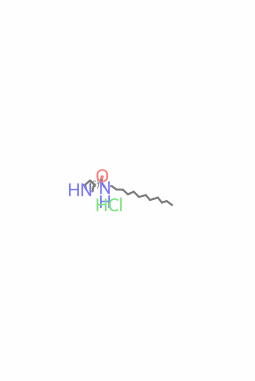 CCCCCCCCCCCCNC(=O)[C@H]1CCNC1.Cl